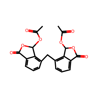 CC(=O)OC1OC(=O)c2cccc(Cc3cccc4c3C(OC(C)=O)OC4=O)c21